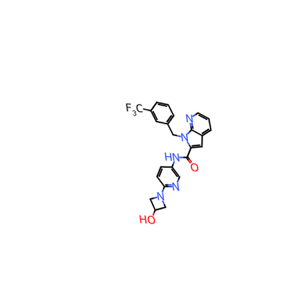 O=C(Nc1ccc(N2CC(O)C2)nc1)c1cc2cccnc2n1Cc1cccc(C(F)(F)F)c1